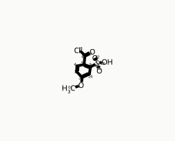 COc1ccc(C(=O)Cl)c(S(=O)(=O)O)c1